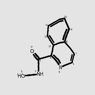 O=C(NO)c1nccc2ccccc12